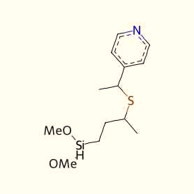 CO[SiH](CCC(C)SC(C)c1ccncc1)OC